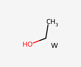 CCO.[W]